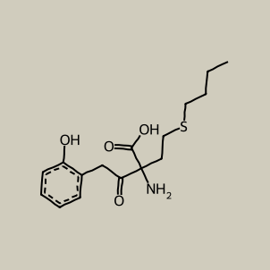 CCCCSCCC(N)(C(=O)O)C(=O)Cc1ccccc1O